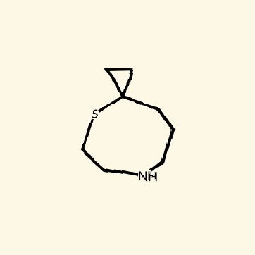 C1CNCCSC2(C1)CC2